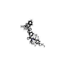 CN1CCN(C(C)(C)/C=C(\C#N)C(=O)N2CCC[C@H](OC(=O)N[C@@H](Cc3ccccc3)B(O)O)C2)CC1